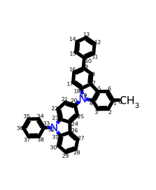 Cc1ccc2c(c1)c1cc(-c3ccccc3)ccc1n2-c1ccc2c(c1)c1ccccc1n2-c1ccccc1